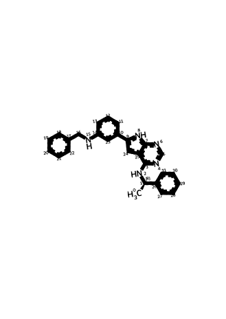 C[C@@H](Nc1ncnc2[nH]c(-c3cccc(NCc4ccccc4)c3)cc12)c1ccccc1